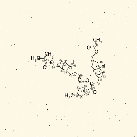 C=CC(=O)OCC1CC2C3CC(CC3COC(=O)C3C4C=C(C)C(C4)C3C(=O)OCC3CC4C5CC(CC5COC(=O)C(=C)C)[C@H]4C3)[C@H]2C1